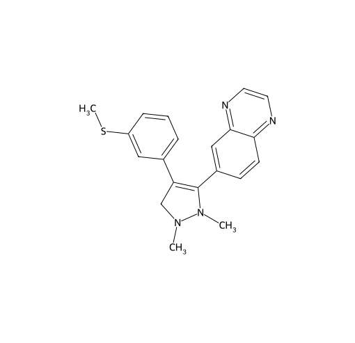 CSc1cccc(C2=C(c3ccc4nccnc4c3)N(C)N(C)C2)c1